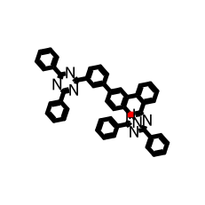 N#Cc1ccc(-c2cccc(-c3nc(-c4ccccc4)nc(-c4ccccc4)n3)c2)cc1-c1ccccc1-c1nc(-c2ccccc2)nc(-c2ccccc2)n1